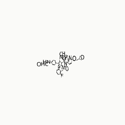 CN(C)Cc1c(-c2ccc(NC=O)cc2)sc2c1c(=O)n(-c1ccc(OCC3COC3)nc1)c(=O)n2Cc1c(F)cccc1F